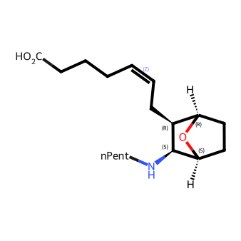 CCCCCN[C@H]1[C@@H](C/C=C\CCCC(=O)O)[C@H]2CC[C@@H]1O2